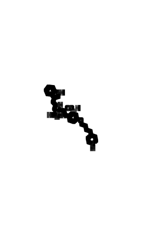 CCC[PH](O)(CCCc1c[nH]c2ccccc12)N[C@@H](Cc1ccc(OCCCCC2CCNCC2)cc1)C(=O)O